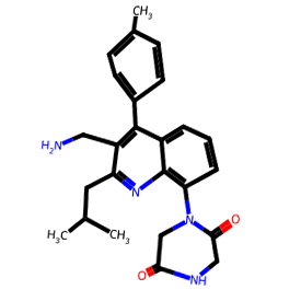 Cc1ccc(-c2c(CN)c(CC(C)C)nc3c(N4CC(=O)NCC4=O)cccc23)cc1